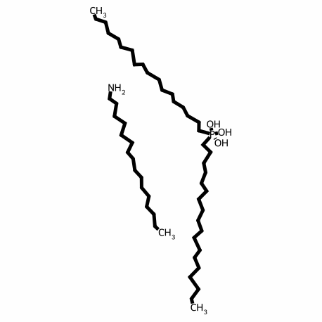 CCCCCCCCCCCCCCCCCCP(O)(O)(O)CCCCCCCCCCCCCCCCCC.CCCCCCCCCCCCCCCCN